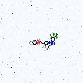 CCc1nc2cc(C(F)(F)F)c(Cl)cc2n1-c1ccc(CCS(=O)(=O)c2ccc(C)cc2)cc1